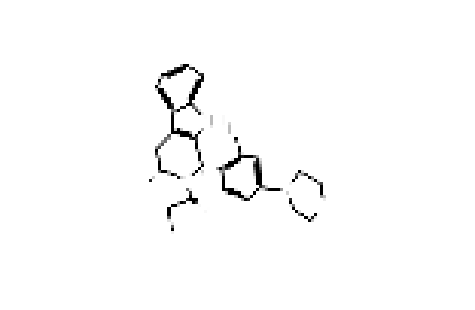 C[C@H]1Cc2c([nH]c3ccccc23)[C@@H](c2ccc(N3CCOCC3)cc2F)N1C(=O)CCl